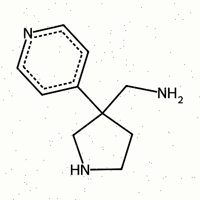 NCC1(c2ccncc2)CCNC1